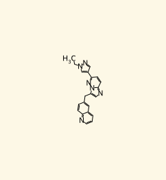 CCn1cc(-c2ccc3ncc(Cc4ccc5ncccc5c4)n3n2)cn1